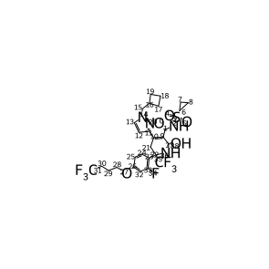 O=C(NS(=O)(=O)C1CC1)C1=C(c2ccn(CC3CCC3)n2)C[C@](c2ccc(OCCCC(F)(F)F)cc2F)(C(F)(F)F)NC1O